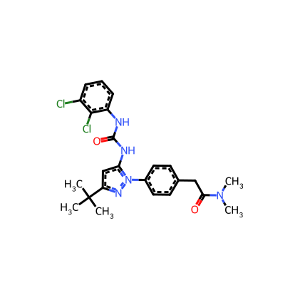 CN(C)C(=O)Cc1ccc(-n2nc(C(C)(C)C)cc2NC(=O)Nc2cccc(Cl)c2Cl)cc1